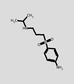 CC(C)NCCCS(=O)(=O)c1ccc(N)cc1